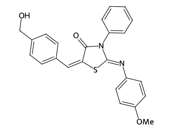 COc1ccc(N=C2SC(=Cc3ccc(CO)cc3)C(=O)N2c2ccccc2)cc1